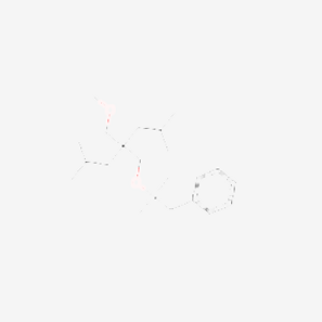 COCC(CO[Si](C)(C)Cc1ccccc1)(CC(C)C)CC(C)C